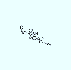 NCCNC(=O)COc1cccc(C(O)(C(=O)OCC2CCN(Cc3ccccc3)CC2)c2ccccc2)c1